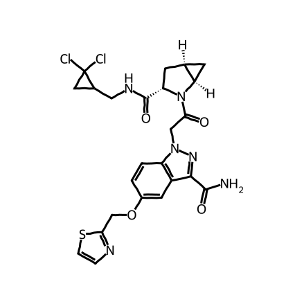 NC(=O)c1nn(CC(=O)N2[C@@H]3C[C@@H]3C[C@H]2C(=O)NCC2CC2(Cl)Cl)c2ccc(OCc3nccs3)cc12